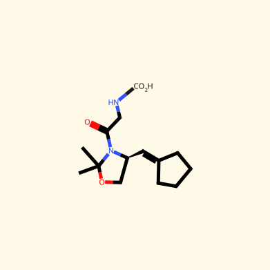 CC1(C)OC[C@H](C=C2CCCC2)N1C(=O)CNC(=O)O